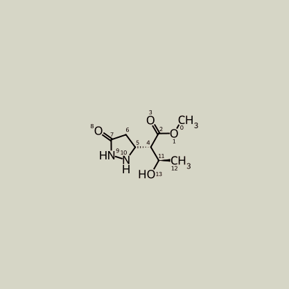 COC(=O)[C@@H](C1CC(=O)NN1)[C@@H](C)O